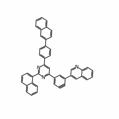 c1cc(-c2cc(-c3ccc(-c4ccc5ccccc5c4)cc3)nc(-c3cccc4ccccc34)n2)cc(-c2cnc3ccccc3c2)c#1